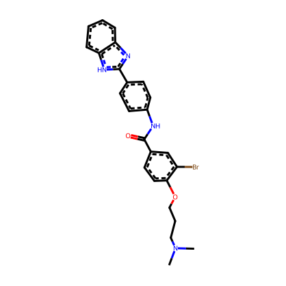 CN(C)CCCOc1ccc(C(=O)Nc2ccc(-c3nc4ccccc4[nH]3)cc2)cc1Br